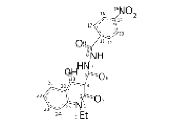 CCn1c(=O)c(C(=O)NNC(=O)c2ccc([N+](=O)[O-])cc2)c(O)c2ccccc21